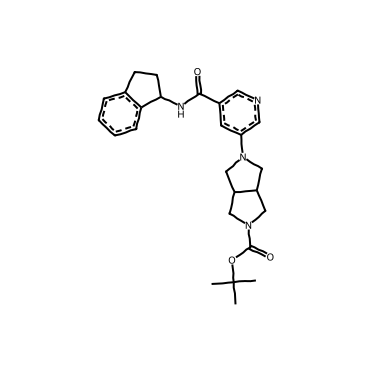 CC(C)(C)OC(=O)N1CC2CN(c3cncc(C(=O)NC4CCc5ccccc54)c3)CC2C1